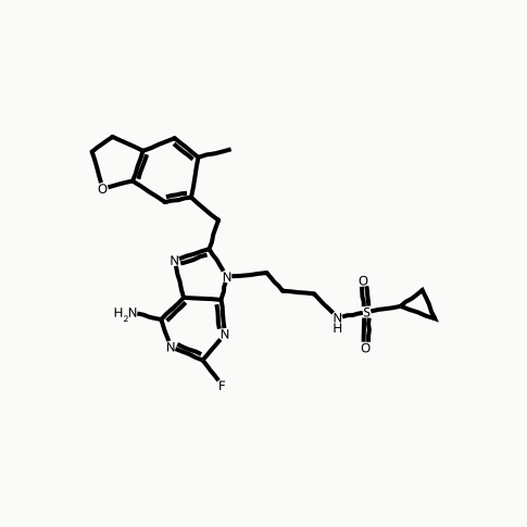 Cc1cc2c(cc1Cc1nc3c(N)nc(F)nc3n1CCCNS(=O)(=O)C1CC1)OCC2